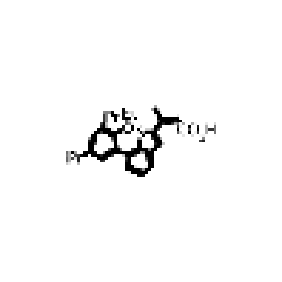 CCOc1c(-c2cccc3cc(/C(C)=C\C(=O)O)sc23)cc(C(C)C)cc1C(C)C